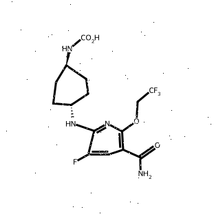 NC(=O)c1cc(F)c(N[C@H]2CC[C@H](NC(=O)O)CC2)nc1OCC(F)(F)F